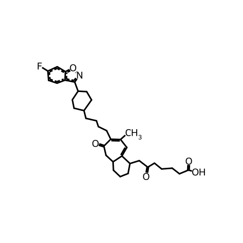 CC1=C(CCCCC2CCC(c3noc4cc(F)ccc34)CC2)C(=O)CC2CCCC(CC(=O)CCCCC(=O)O)C2=C1